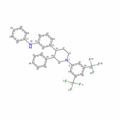 FC(F)(F)c1cc(N2CCC(c3cccc(Nc4ccccc4)c3)C(c3ccccc3)C2)cc(C(F)(F)F)c1